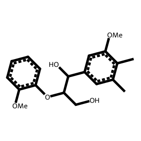 COc1ccccc1OC(CO)C(O)c1cc(C)c(C)c(OC)c1